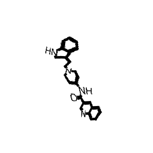 O=C(NC1CCN(CCc2c[nH]c3ccccc23)CC1)c1cnc2ccccc2c1